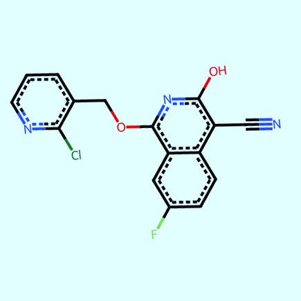 N#Cc1c(O)nc(OCc2cccnc2Cl)c2cc(F)ccc12